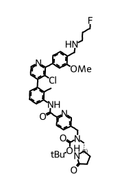 COc1cc(-c2nccc(-c3cccc(NC(=O)c4ccc(CN(C[C@@H]5CCC(=O)N5)C(=O)OC(C)(C)C)cn4)c3C)c2Cl)ccc1CNCCCF